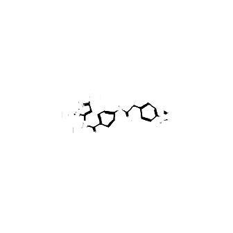 CCN(C(=O)c1ccc(NC(=O)Cc2ccc(S(=O)(=O)CC)cc2)cc1)c1cc(C)nn1C